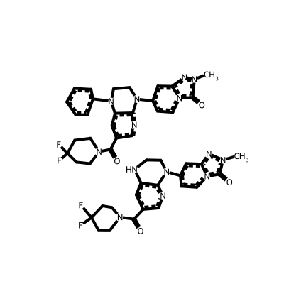 Cn1nc2cc(N3CCN(c4ccccc4)c4cc(C(=O)N5CCC(F)(F)CC5)cnc43)ccn2c1=O.Cn1nc2cc(N3CCNc4cc(C(=O)N5CCC(F)(F)CC5)cnc43)ccn2c1=O